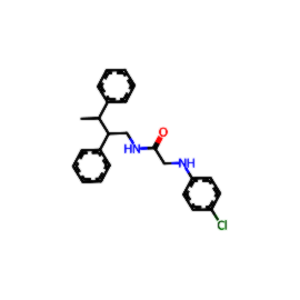 CC(c1ccccc1)C(CNC(=O)CNc1ccc(Cl)cc1)c1ccccc1